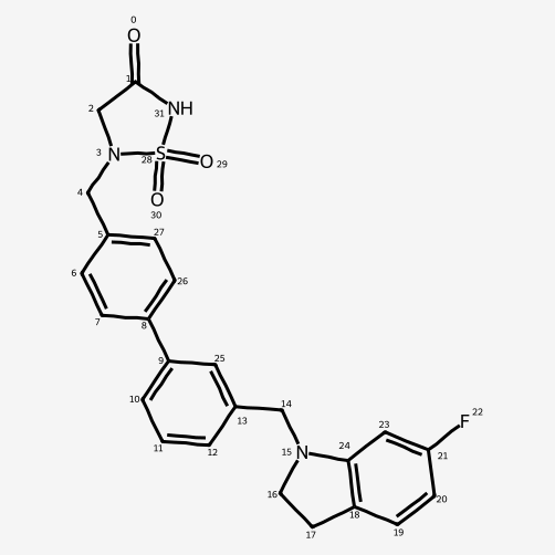 O=C1CN(Cc2ccc(-c3cccc(CN4CCc5ccc(F)cc54)c3)cc2)S(=O)(=O)N1